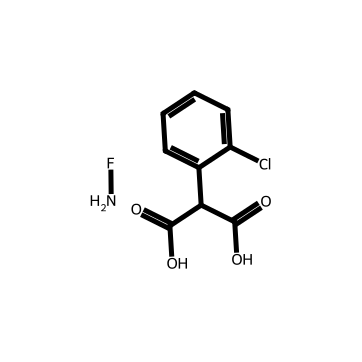 NF.O=C(O)C(C(=O)O)c1ccccc1Cl